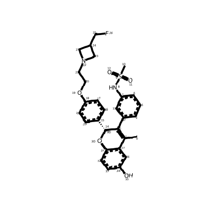 CC1=C(c2cccc(NS(C)(=O)=O)c2)[C@@H](c2ccc(OCCN3CC(CF)C3)cc2)Oc2ccc(O)cc21